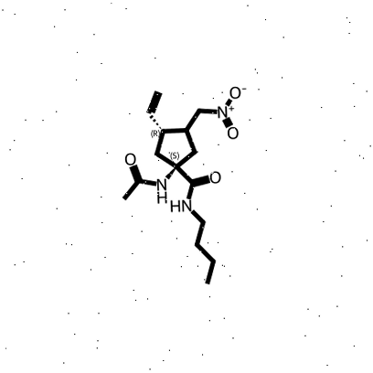 C=C[C@H]1C[C@@](NC(C)=O)(C(=O)NCCCC)CC1C[N+](=O)[O-]